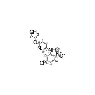 CCCOc1ccc(Nc2cc(Cl)ccc2[N+](=O)[O-])cn1